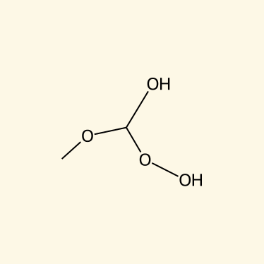 COC(O)OO